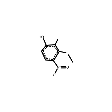 CSc1c([N+](=O)[O-])ccc(O)c1C